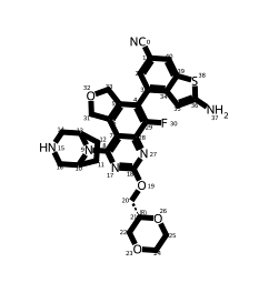 N#Cc1cc(-c2c3c(c4c(N5C6CCC5CNC6)nc(OC[C@H]5COCCO5)nc4c2F)COC3)c2cc(N)sc2c1